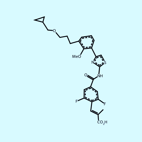 COc1c(CCCOCC2CC2)cccc1-c1csc(NC(=O)c2cc(F)c(C=C(C)C(=O)O)c(F)c2)n1